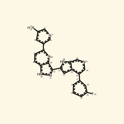 Nc1cncc(-c2ccc3[nH]nc(-c4cc5c(-c6cccc(F)c6)cncc5[nH]4)c3n2)c1